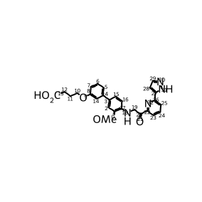 COc1cc(-c2cccc(OCCCC(=O)O)c2)ccc1NCC(=O)c1cccc(-c2ccn[nH]2)n1